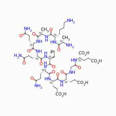 CC(C)C[C@H](NC(=O)[C@H](CCC(N)=O)NC(=O)[C@H](CCC(N)=O)NC(=O)[C@H](C)NC(=O)[C@H](CCCCN)NC(=O)[C@H](C)N)C(=O)N[C@@H](CCC(N)=O)C(=O)N[C@@H](CCC(=O)O)C(=O)N[C@@H](CCC(=O)O)C(=O)NCC(=O)N[C@@H](CCC(=O)O)C(=O)O